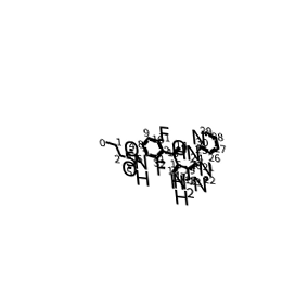 CCCS(=O)(=O)Nc1ccc(F)c(C(=O)C2=CNC/C2=C(\N=C/N)Nc2ccccn2)c1F